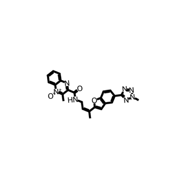 CC(=CCNC(=O)c1nc2ccccc2[n+]([O-])c1C)c1cc2cc(-c3nnn(C)n3)ccc2o1